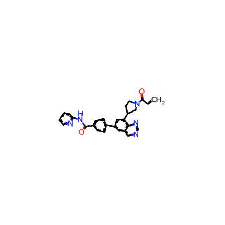 C=CC(=O)N1CCC(c2cc(-c3ccc(C(=O)Nc4ccccn4)cc3)cc3cncnc23)C1